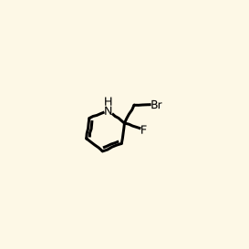 FC1(CBr)C=CC=CN1